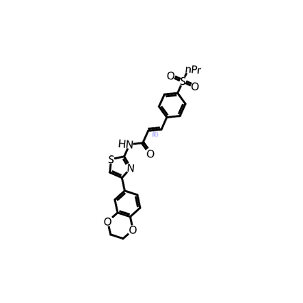 CCCS(=O)(=O)c1ccc(/C=C/C(=O)Nc2nc(-c3ccc4c(c3)OCCO4)cs2)cc1